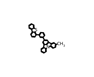 Cc1ccc2c(c1)c1cc(-c3cccc(-c4cccc5c4sc4ccccc45)c3)cc3c4ccccc4n2c31